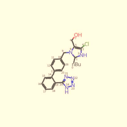 CCCCC1NC(Cl)=C(CO)N1Cc1ccc(-c2ccccc2-c2nnn[nH]2)cc1